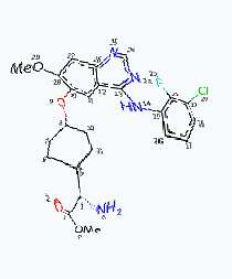 COC(=O)[C@@H](N)C1CCC(Oc2cc3c(Nc4cccc(Cl)c4F)ncnc3cc2OC)CC1